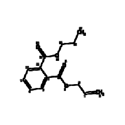 C=CCOC(=O)c1ccccc1C(=O)OCCC